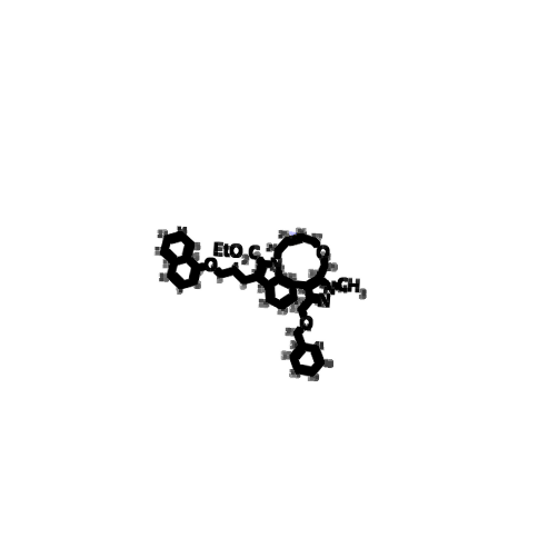 CCOC(=O)c1c(CCCOc2cccc3ccccc23)c2cccc3c2n1C/C=C\COCc1c-3c(COCc2ccccc2)nn1C